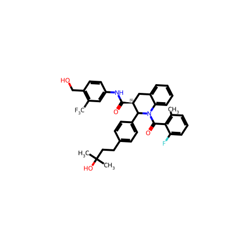 Cc1cccc(F)c1C(=O)N1c2ccccc2C[C@H](C(=O)Nc2ccc(CO)c(C(F)(F)F)c2)C1c1ccc(CCC(C)(C)O)cc1